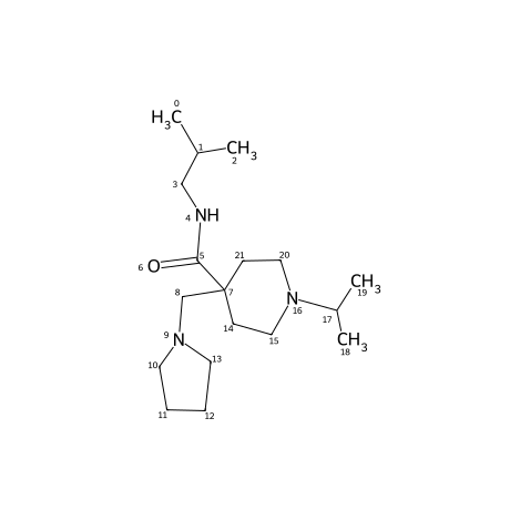 CC(C)CNC(=O)C1(CN2CCCC2)CCN(C(C)C)CC1